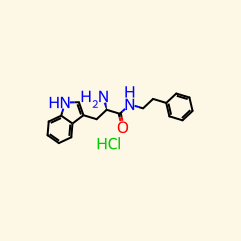 Cl.N[C@H](Cc1c[nH]c2ccccc12)C(=O)NCCc1ccccc1